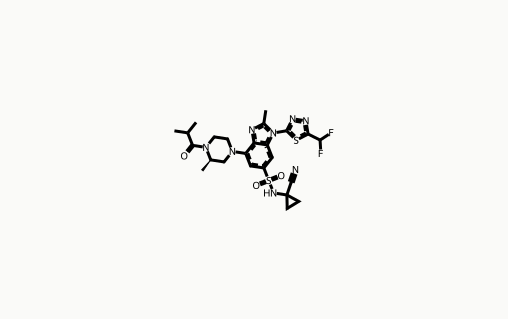 Cc1nc2c(N3CCN(C(=O)C(C)C)[C@H](C)C3)cc(S(=O)(=O)NC3(C#N)CC3)cc2n1-c1nnc(C(F)F)s1